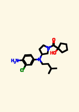 CC(C)CCN(c1ccc(N)c(Cl)c1)[C@H]1CCN(C(=O)C2(O)CCCC2)C1